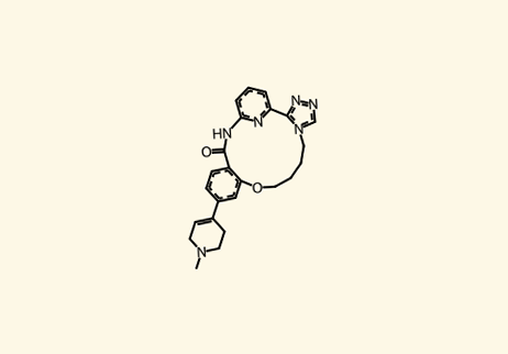 CN1CC=C(c2ccc3c(c2)OCCCCn2cnnc2-c2cccc(n2)NC3=O)CC1